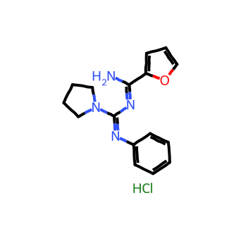 Cl.NC(=NC(=Nc1ccccc1)N1CCCC1)c1ccco1